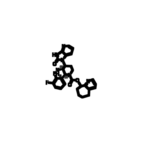 N[C@H]1C(n2c(=O)[nH]c3ncccc32)CCN(C(=O)OC2CCCCc3cccnc32)[C@H]1c1cccc(F)c1F